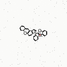 COc1ccccc1S1(c2cc3ccccc3o2)C=Cc2c1ccc1c2C=C2C=CC=CC2O1